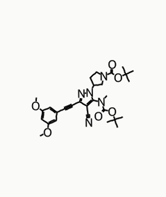 COc1cc(C#Cc2nn(C3CCN(C(=O)OC(C)(C)C)C3)c(N(C)C(=O)OC(C)(C)C)c2C#N)cc(OC)c1